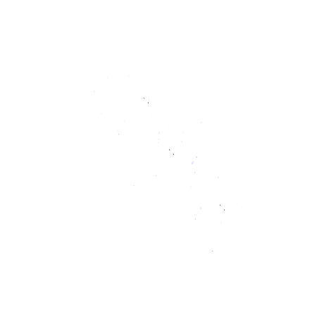 CCN(CC)C1=C(/C=C/C2=[N+](C)c3ccccc3C2(C)C)CCC/C1=C\C=C1\N(C)c2ccccc2C1(C)C.[I-]